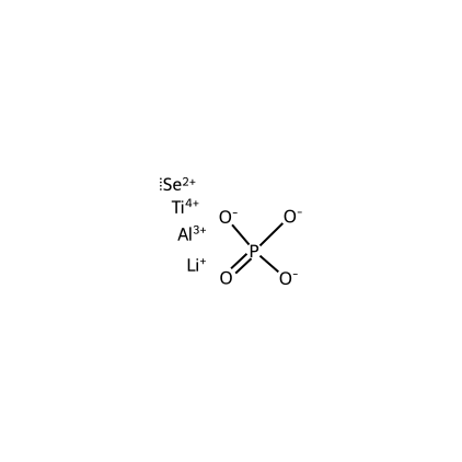 O=P([O-])([O-])[O-].[Al+3].[Li+].[Se+2].[Ti+4]